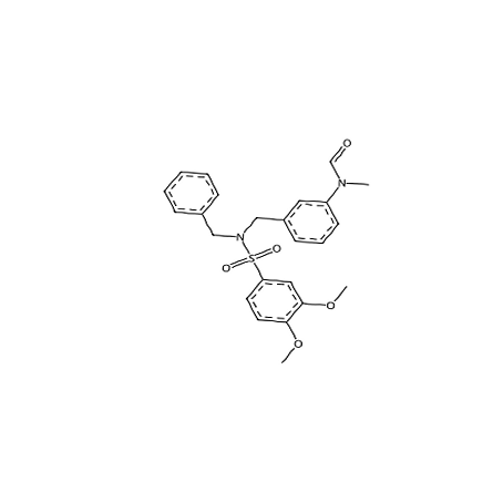 COc1ccc(S(=O)(=O)N(Cc2ccccc2)Cc2cccc(N(C)C=O)c2)cc1OC